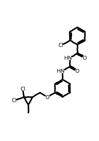 CC1C(COc2cccc(NC(=O)NC(=O)c3ccccc3Cl)c2)C1(Cl)Cl